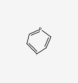 [c]1ccpcc1